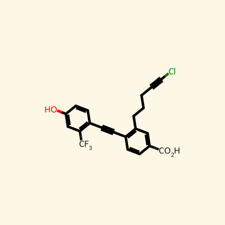 O=C(O)c1ccc(C#Cc2ccc(O)cc2C(F)(F)F)c(CCCC#CCl)c1